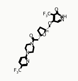 O=C(C[C@@H]1CC[C@H](COc2cn[nH]c(=O)c2C(F)(F)F)O1)N1CCN(c2ccc(C(F)(F)F)cn2)CC1